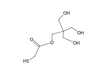 O=C(CS)OCC(CO)(CO)CO